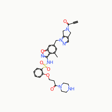 C#CC(=O)N1Cc2cnn(Cc3cc(C)c4c(NS(=O)(=O)c5ccccc5OCCC(=O)N5CCNCC5)noc4c3)c2C1